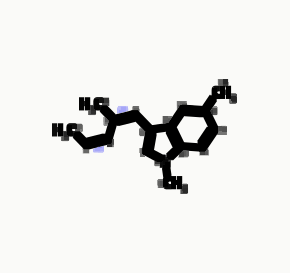 C/C=C\C(C)=C/c1cn(C)c2ccc(C)cc12